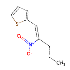 CCCC(=Cc1cccs1)[N+](=O)[O-]